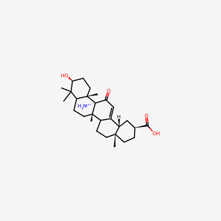 CC1(C)C2CC[C@@]3(C)C4CC[C@@]5(C)CC[C@H](C(=O)O)C[C@H]5C4=CC(=O)[C@]3(N)[C@@]2(C)CC[C@@H]1O